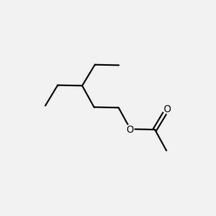 CCC(CC)CCOC(C)=O